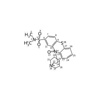 CN(C)S(=O)(=O)c1ccc2c(c1)[N+]([O-])(C1CN3CCC1CC3)c1ccccc1S2